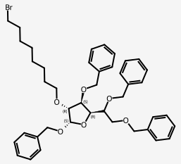 BrCCCCCCCCO[C@H]1[C@@H](OCc2ccccc2)O[C@H](C(COCc2ccccc2)OCc2ccccc2)[C@@H]1OCc1ccccc1